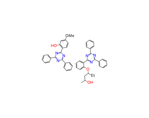 CCC(CC(C)O)Oc1ccccc1-c1nc(-c2ccccc2)nc(-c2ccccc2)n1.COc1ccc(-c2nc(-c3ccccc3)nc(-c3ccccc3)n2)c(O)c1